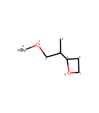 [CH2]C(COCCCC)C1CCO1